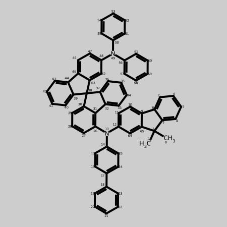 CC1(C)c2ccccc2-c2ccc(N(c3ccc(-c4ccccc4)cc3)c3cccc4c3-c3ccccc3C43c4ccccc4-c4ccc(N(c5ccccc5)c5ccccc5)cc43)cc21